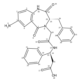 Nc1ccc2c(c1)C(=O)N(CC(=O)N[C@@H](CC(=O)O)c1ccccc1)[C@@H](Cc1ccccc1)C(=O)N2